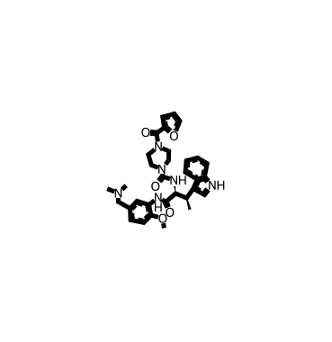 COc1ccc(CN(C)C)cc1NC(=O)[C@H](NC(=O)N1CCN(C(=O)c2ccco2)CC1)[C@H](C)c1c[nH]c2ccccc12